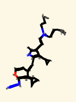 COCCN(CCOC)CCc1c(C)[nH]c(C=C2C=COC(N=[N])=C2C2CC2)c1C1CC1